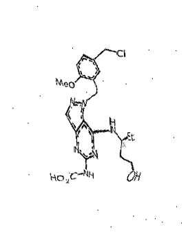 CC[C@@H](CCO)Nc1nc(NC(=O)O)nc2cnn(Cc3cc(CCl)ccc3OC)c12